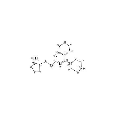 CN1CCCC1COc1nc2c(c(N3CCNCC3)n1)CCCC2